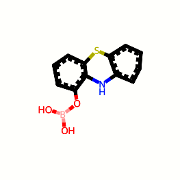 OB(O)Oc1cccc2c1Nc1ccccc1S2